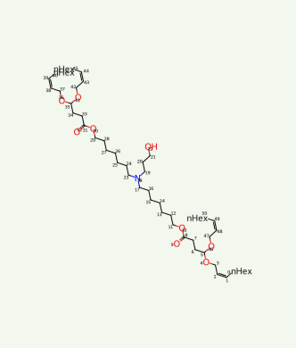 CCCCCC/C=C\COC(CCC(=O)OCCCCCCCN(CCCO)CCCCCCCOC(=O)CCC(OC/C=C\CCCCCC)OC/C=C\CCCCCC)OC/C=C\CCCCCC